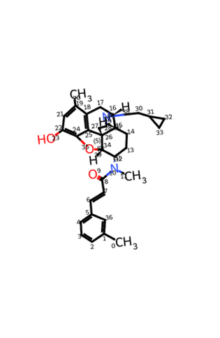 Cc1cccc(C=CC(=O)N(C)[C@H]2CC[C@H]3[C@H]4Cc5c(C)cc(O)c6c5[C@@]3(CCN4CC3CC3)[C@H]2O6)c1